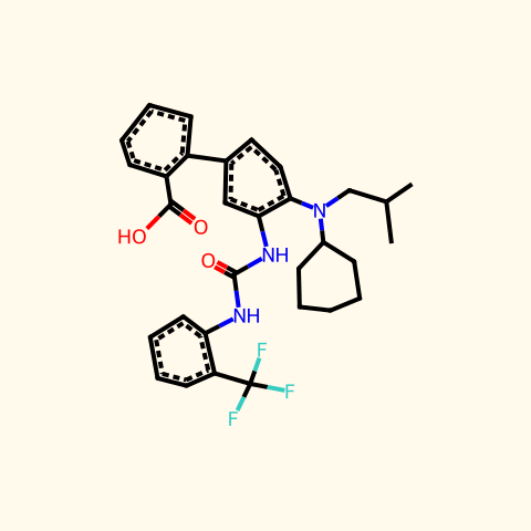 CC(C)CN(c1ccc(-c2ccccc2C(=O)O)cc1NC(=O)Nc1ccccc1C(F)(F)F)C1CCCCC1